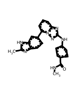 CNC(=O)c1ccc(Nc2nc3cccc(-c4ccc5nc(C)[nH]c5c4)n3n2)cc1